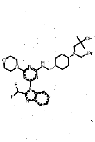 CC(C)CN(CC(C)(C)O)[C@H]1CC[C@H](CNc2nc(N3CCOCC3)cc(-n3c(C(F)F)nc4ccccc43)n2)CC1